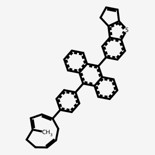 C/C1=C\C=C(\c2ccc(-c3c4ccccc4c(-c4ccc5sc6c(c5c4)CC=C6)c4ccccc34)cc2)CC=CCC1